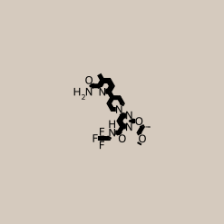 COC[C@@H](C)Oc1nc(C(=O)NCC(F)(F)F)cc(N2CCC(c3ccc(C)c(C(N)=O)n3)CC2)n1